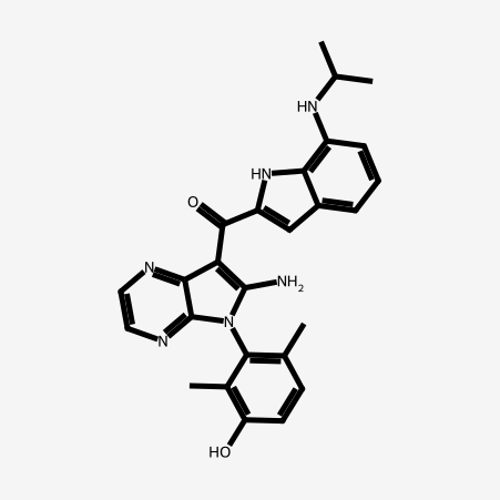 Cc1ccc(O)c(C)c1-n1c(N)c(C(=O)c2cc3cccc(NC(C)C)c3[nH]2)c2nccnc21